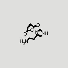 NCCc1c[nH]cn1.O=C1C=CC(=O)O1